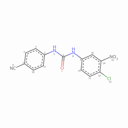 N#Cc1ccc(NC(=O)Nc2ccc(Cl)c([N+](=O)[O-])c2)cc1